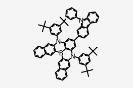 CC(C)(C)c1cc(N2c3cc4ccccc4cc3B3c4cc5ccccc5cc4N(c4cc(C(C)(C)C)cc(C(C)(C)C)c4)c4cc(-c5ccc6c7ccccc7n(-c7ccccc7)c6c5)cc2c43)cc(C(C)(C)C)c1